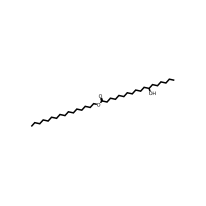 CCCCCCCCCCCCCCCCOC(=O)CCCCCCCCCCC(O)CCCCCC